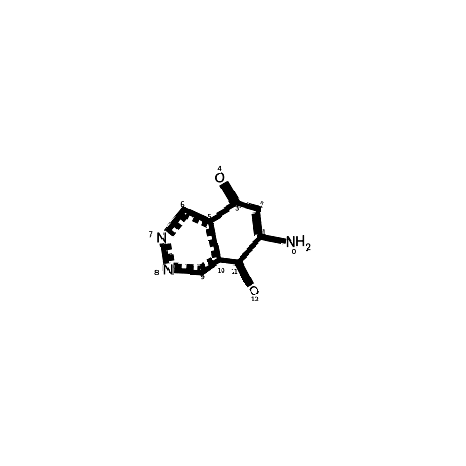 NC1=CC(=O)c2cnncc2C1=O